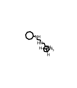 CC1(C)[C@H]2CCC(CNCCNC3CCCCCCC3)[C@@H]1C2